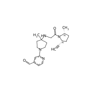 C#C[C@H]1CC[C@@H](C)N1C(=O)CNC1(C)CCN(c2cc(C=O)ccn2)CC1